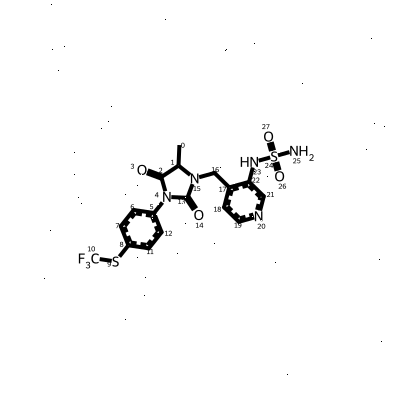 CC1C(=O)N(c2ccc(SC(F)(F)F)cc2)C(=O)N1Cc1ccncc1NS(N)(=O)=O